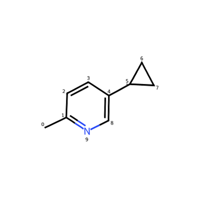 Cc1ccc([C]2CC2)cn1